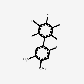 CCc1c(F)c(F)c(F)c(-c2cc([N+](=O)[O-])c(OC)cc2F)c1F